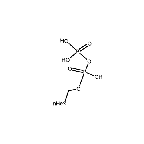 CCCCCCCOP(=O)(O)OP(=O)(O)O